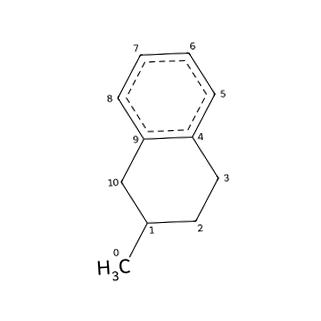 CC1CCc2ccccc2C1